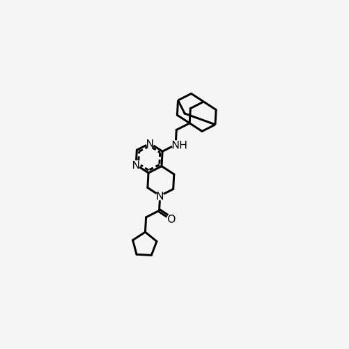 O=C(CC1CCCC1)N1CCc2c(ncnc2NCC23CC4CC(CC(C4)C2)C3)C1